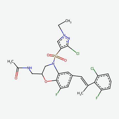 CCn1cc(S(=O)(=O)N2CC(CNC(C)=O)Oc3c(F)cc(C=C(C)c4c(F)cccc4Cl)cc32)c(Cl)n1